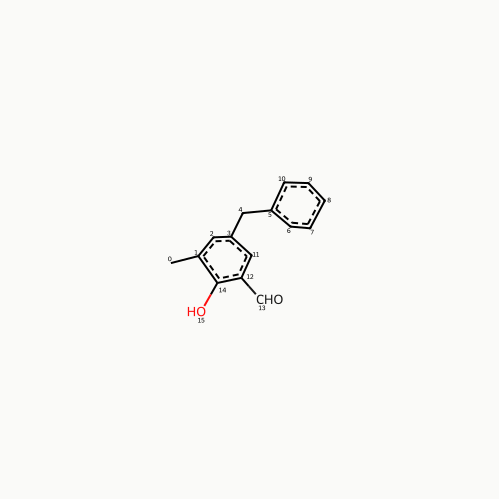 Cc1cc(Cc2ccccc2)cc(C=O)c1O